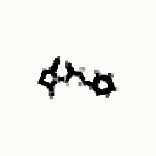 O=C(ON1C(=O)CCC1=O)SSc1ccccn1